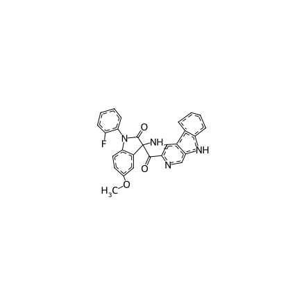 COc1ccc2c(c1)C(N)(C(=O)c1cc3c(cn1)[nH]c1ccccc13)C(=O)N2c1ccccc1F